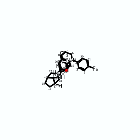 Fc1ccc(N2CCCn3nc(N[C@@H]4C5CC[C@H]4CN(c4ccnc(C(F)(F)F)c4)C5)nc32)cc1